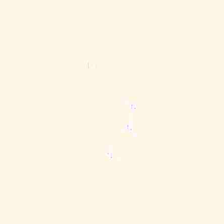 CC(C)(C)Cc1cnn2ccnc2c1